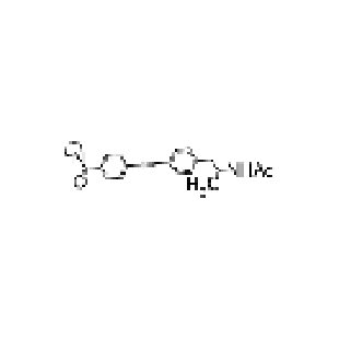 CC(=O)NC(C)Cc1ccc(C#Cc2ccc(C(=O)N3CCC3)cc2)cc1